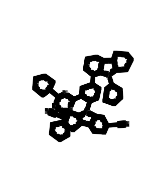 N#Cc1ccc2c3ccc(C#N)cc3n(-c3ccc(-c4cccc5c6ccccc6n(-c6ccccc6)c45)cc3-c3nc(-c4ccccc4)nc(-c4ccccc4)n3)c2c1